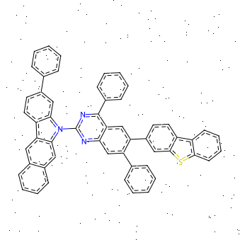 c1ccc(-c2ccc3c4cc5ccccc5cc4n(-c4nc(-c5ccccc5)c5cc(-c6ccc7c(c6)sc6ccccc67)c(-c6ccccc6)cc5n4)c3c2)cc1